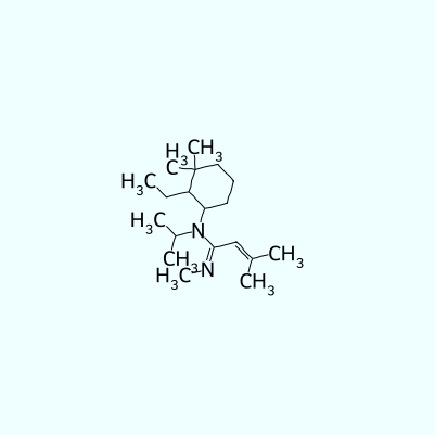 CCC1C(N(/C(C=C(C)C)=N\C)C(C)C)CCCC1(C)C